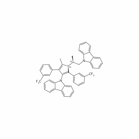 CC1=C(c2cccc(C(F)(F)F)c2)C(n2c3ccccc3c3ccccc32)=C(c2cccc(C(F)(F)F)c2)[C@@H]1[C@@H](C)Cn1c2ccccc2c2ccccc21